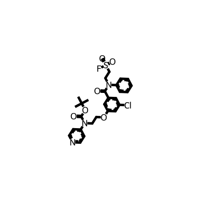 CC(C)(C)OC(=O)N(CCOc1cc(Cl)cc(C(=O)N(CCS(=O)(=O)F)c2ccccc2)c1)c1ccncc1